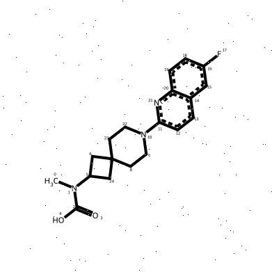 CN(C(=O)O)C1CC2(CCN(c3ccc4cc(F)ccc4n3)CC2)C1